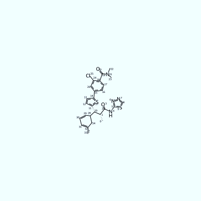 C[C@@H](C(=O)Nc1nncs1)[C@@H](c1ccc(-c2ccc(C(=O)N(C)C)c(Cl)c2)s1)C1C=CC=C(F)C1